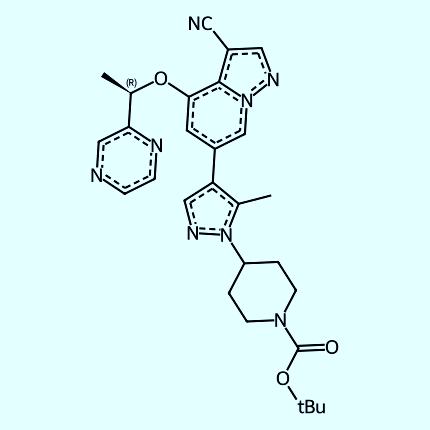 Cc1c(-c2cc(O[C@H](C)c3cnccn3)c3c(C#N)cnn3c2)cnn1C1CCN(C(=O)OC(C)(C)C)CC1